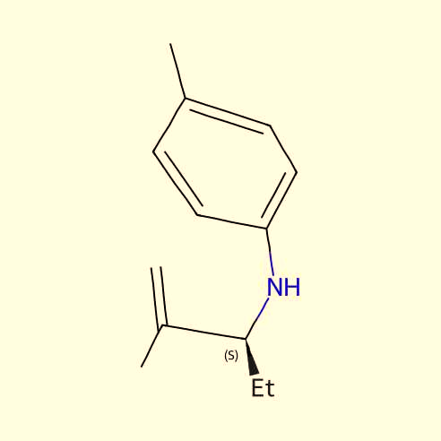 C=C(C)[C@H](CC)Nc1ccc(C)cc1